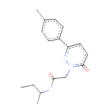 CCC(C)NC(=O)Cn1nc(-c2ccc(C)cc2)ccc1=O